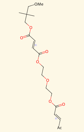 COCC(C)(C)COC(=O)/C=C/C(=O)OCCOCCOC(=O)/C=C/C(C)=O